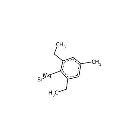 CCc1cc(C)cc(CC)[c]1[Mg][Br]